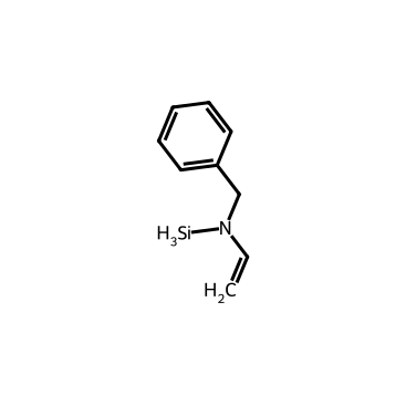 C=CN([SiH3])Cc1ccccc1